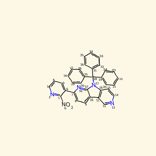 O=[N+]([O-])c1ncccc1-c1ccc2c3cnccc3n(C(c3ccccc3)(c3ccccc3)c3ccccc3)c2n1